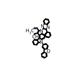 C=Cc1c(/C=C\C)n(-c2nc3ccccc3nc2-c2ccccc2)c2ccc3c(c4ccccc4n3-c3ccc4oc5ccccc5c4c3)c12